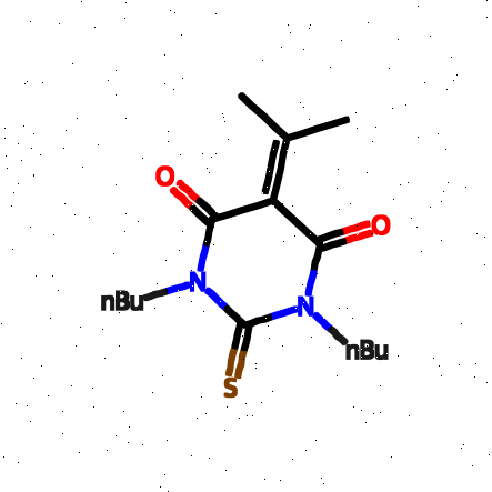 CCCCN1C(=O)C(=C(C)C)C(=O)N(CCCC)C1=S